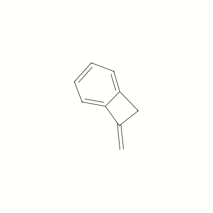 C=C1Cc2ccccc21